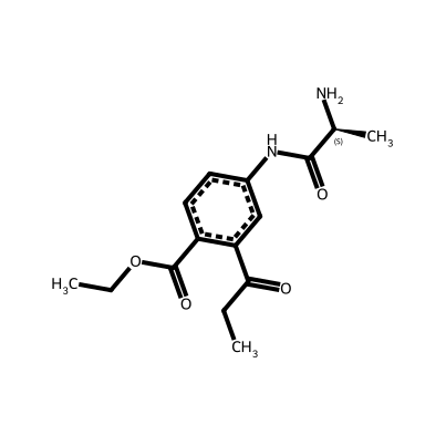 CCOC(=O)c1ccc(NC(=O)[C@H](C)N)cc1C(=O)CC